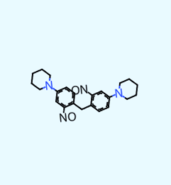 O=Nc1cc(N2CCCCC2)ccc1Cc1ccc(N2CCCCC2)cc1N=O